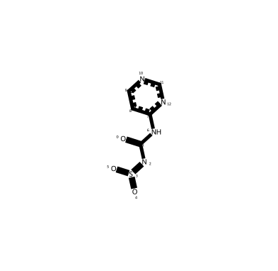 O=C(N=S(=O)=O)Nc1ccncn1